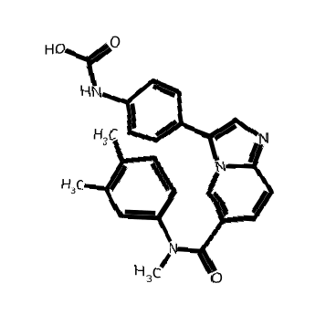 Cc1ccc(N(C)C(=O)c2ccc3ncc(-c4ccc(NC(=O)O)cc4)n3c2)cc1C